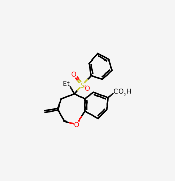 C=C1COc2ccc(C(=O)O)cc2C(CC)(S(=O)(=O)c2ccccc2)C1